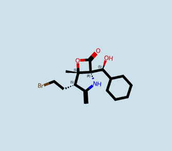 C=C1N[C@@]2([C@@H](O)C3CCCCC3)C(=O)O[C@@]2(C)[C@H]1CCBr